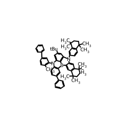 Cc1ccc(-c2ccccc2)cc1N1c2ccc(-c3ccccc3)cc2B2c3cc4c(cc3N(c3ccc5c(c3)C(C)(C)CCC5(C)C)c3cc(C(C)(C)C)cc1c32)C(C)(C)CCC4(C)C